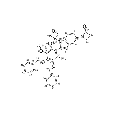 COc1cc(-c2nc3cc(N4CCC4=O)ccc3n2C2(C)COC2)c(F)c(OCc2ccccc2)c1OCc1ccccc1